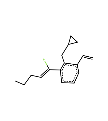 C=Cc1cccc(/C(F)=C/CCC)c1CC1CC1